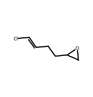 Cl/C=C/CCC1CO1